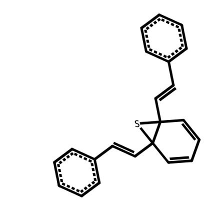 C1=CC2(C=Cc3ccccc3)SC2(C=Cc2ccccc2)C=C1